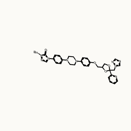 CC[C@H](C)n1ncn(-c2ccc(N3CCN(c4ccc(OCC5COC(Cn6cncn6)(c6ccccn6)O5)cc4)CC3)cc2)c1=O